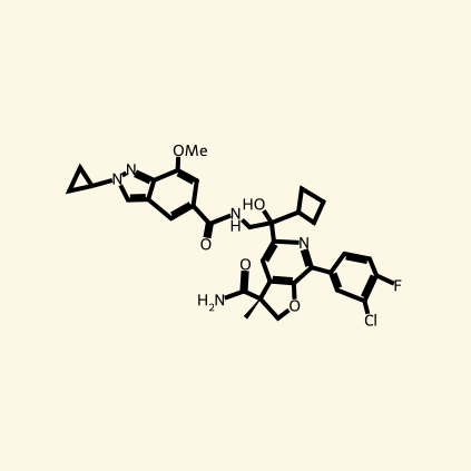 COc1cc(C(=O)NCC(O)(c2cc3c(c(-c4ccc(F)c(Cl)c4)n2)OC[C@]3(C)C(N)=O)C2CCC2)cc2cn(C3CC3)nc12